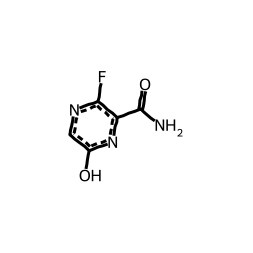 NC(=O)c1nc(O)cnc1F